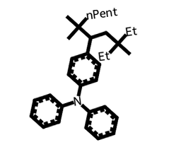 CCCCCC(C)(C)C(CC(C)(CC)CC)c1ccc(N(c2ccccc2)c2ccccc2)cc1